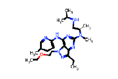 CCOCCn1nc(CC)c2nc(N(C)[C@@H](C)CNC(C)C)nc(NC3=CCC(C)C=N3)c21